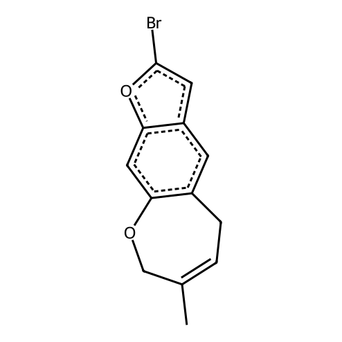 CC1=CCc2cc3cc(Br)oc3cc2OC1